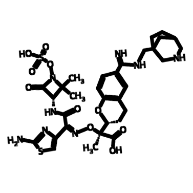 CC1(C)[C@H](NC(=O)/C(=N\O[C@](C)(C(=O)O)[C@H]2CCc3cc(C(=N)NCC45CCC(CNC4)C5)ccc3O2)c2csc(N)n2)C(=O)N1OS(=O)(=O)O